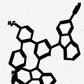 CC1C=CC(c2cc(N3c4ccccc4C4C=CNCC43)nc(-n3c4ccccc4c4cc(C#N)ccc43)c2)=C(c2ccc(C#N)cc2)C1